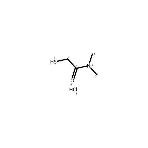 CN(C)C(=O)CS.Cl